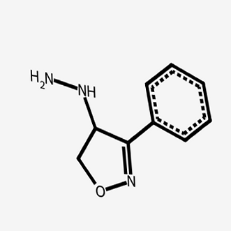 NNC1CON=C1c1ccccc1